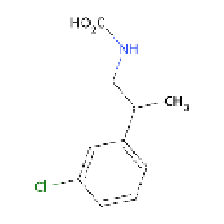 CC(CNC(=O)O)c1cccc(Cl)c1